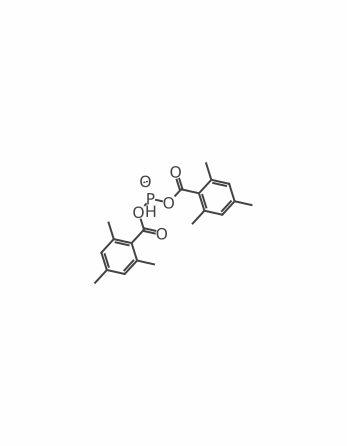 Cc1cc(C)c(C(=O)O[PH](=O)OC(=O)c2c(C)cc(C)cc2C)c(C)c1